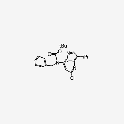 CC(C)c1cnn2c(N(Cc3ccccc3)C(=O)OC(C)(C)C)cc(Cl)nc12